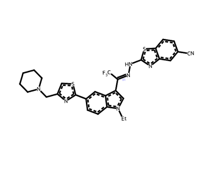 CCn1cc(/C(=N/Nc2nc3cc(C#N)ccc3s2)C(F)(F)F)c2cc(-c3nc(CN4CCCCC4)cs3)ccc21